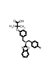 CC(C)(Oc1cccc(CN(Cc2ccc(F)cc2)c2nc3ccccc3o2)c1)C(=O)O